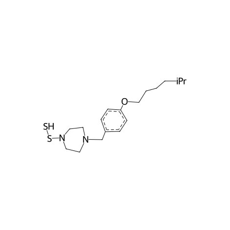 CC(C)CCCCOc1ccc(CN2CCN(SS)CC2)cc1